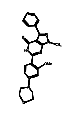 COc1cc(N2CCOCC2)ccc1-c1nc2c(c(-c3ccccc3)nn2C)c(=O)[nH]1